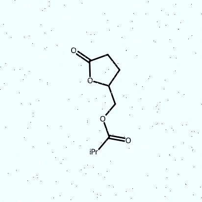 CC(C)C(=O)OCC1CCC(=O)O1